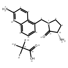 Nc1ccc2c(CN3CC[C@H](N)C3=O)cccc2n1.O=C(O)C(F)(F)F